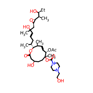 CC[C@H](O)[C@@H](C)[C@H]1O[C@@H]1CC(C)(O)/C=C/CC(C)[C@H]1OC(=O)C[C@H](O)CC[C@@](C)(OC(=O)N2CCN(CCO)CC2)[C@@H](OC(C)=O)/C=C/[C@@H]1C